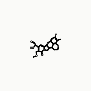 COCc1c(C(O)C=O)cc2n(c1=O)Cc1c-2nc2cc(F)c(C)c3c2c1CCS3